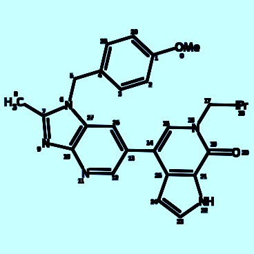 COc1ccc(Cn2c(C)nc3ncc(-c4cn(CC(C)C)c(=O)c5[nH]ccc45)cc32)cc1